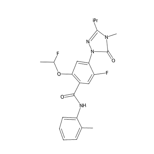 Cc1ccccc1NC(=O)c1cc(F)c(-n2nc(C(C)C)n(C)c2=O)cc1OC(C)F